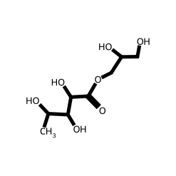 CC(O)C(O)C(O)C(=O)OCC(O)CO